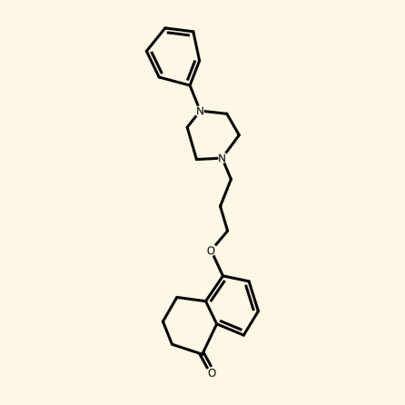 O=C1CCCc2c(OCCCN3CCN(c4ccccc4)CC3)cccc21